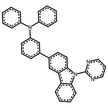 c1ccc(N(c2ccccc2)c2cccc(-c3ccc4c(c3)c3ccccc3n4-c3ncccn3)c2)cc1